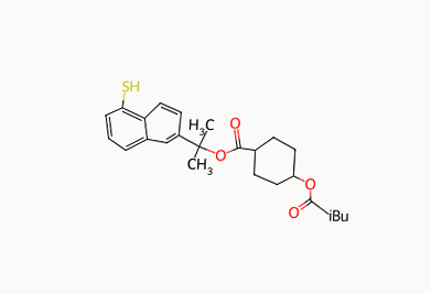 CCC(C)C(=O)OC1CCC(C(=O)OC(C)(C)c2ccc3c(S)cccc3c2)CC1